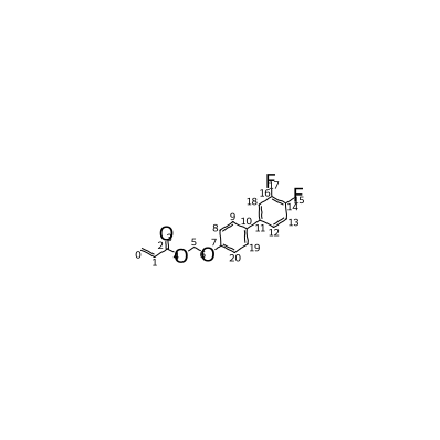 C=CC(=O)OCOc1ccc(-c2ccc(F)c(F)c2)cc1